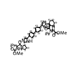 COC(=O)NC(C(=O)N1CCC[C@H]1c1ncc(-c2ccc(-c3ccc(-c4cnc(C5=C(C(=O)N(NC(=O)OC)C(C)C)CCCC5)[nH]4)cc3)cc2)[nH]1)C(C)C